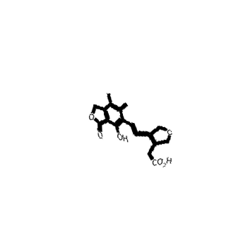 Cc1c(C)c2c(c(O)c1C/C=C1\COCC1CC(=O)O)C(=O)OC2